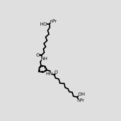 CCCC(O)CCCCCCCCCC(=O)NCc1cccc(CNC(=O)CCCCCCCCCC(O)CCC)c1